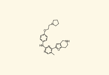 Cc1cnc(Nc2ccc(OCCN3CCCC3)cc2)nc1-c1cc2c(o1)CCNC2